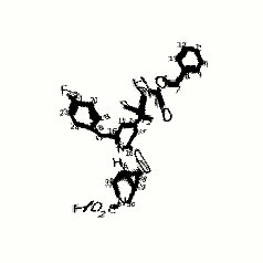 CC(C)(NC(=O)OCc1ccccc1)c1cc(Cc2ccc(F)cc2)nc(OC2C3CN(C(=O)O)C[C@H]32)c1